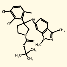 Cc1nn(C)c2cc(NC3(c4c(F)ccc(Cl)c4Cl)CCN(C(=O)OC(C)(C)C)C3)ccc12